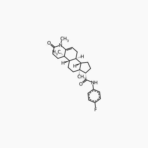 CN1C(=O)CC[C@@]2(C)C1=CC[C@H]1[C@@H]3CC[C@H](C(=O)Nc4ccc(F)cc4)[C@@]3(C)CC[C@@H]12